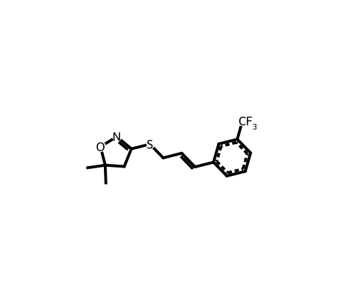 CC1(C)CC(SCC=Cc2cccc(C(F)(F)F)c2)=NO1